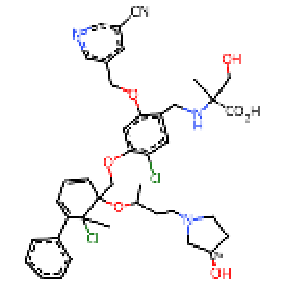 CC(CCN1CC[C@@H](O)C1)OC1(COc2cc(OCc3cncc(C#N)c3)c(CNC(C)(CO)C(=O)O)cc2Cl)C=CC=C(c2ccccc2)C1(C)Cl